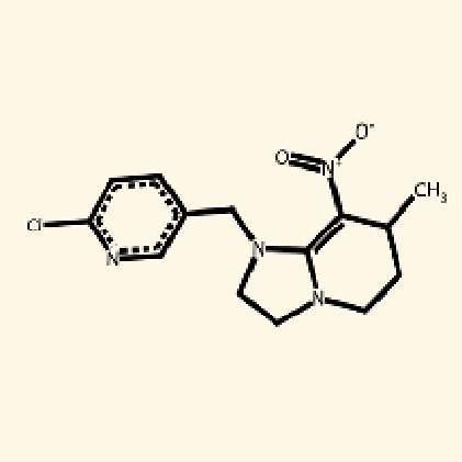 CC1CCN2CCN(Cc3ccc(Cl)nc3)C2=C1[N+](=O)[O-]